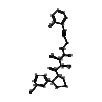 O=C(NCC#Cc1ccccc1Cl)[C@H](O)[C@@H](O)C(=O)N1CCCC1c1cccc(Cl)c1